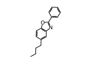 CCCCc1ccc2oc(-c3ccccc3)nc2c1